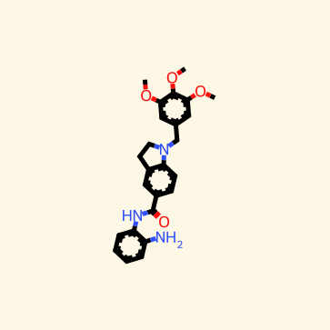 COc1cc(CN2CCc3cc(C(=O)Nc4ccccc4N)ccc32)cc(OC)c1OC